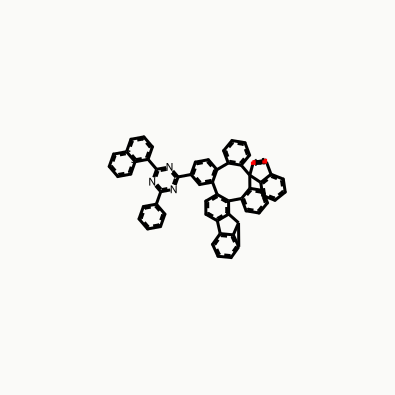 c1ccc(-c2nc(-c3ccc4c(c3)-c3ccc5c(c3-c3ccccc3C3(c6ccccc6-4)c4ccccc4-c4ccccc43)C3c4cccc-5c43)nc(-c3cccc4ccccc34)n2)cc1